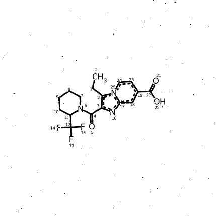 CCc1c(C(=O)N2CCCCC2C(F)(F)F)nc2cc(C(=O)O)ccn12